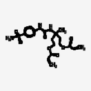 C=CC(=O)OCCC(C)(CCOC(=O)C=C)NC(=O)Nc1ccc(S(N)(=O)=O)cc1